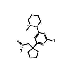 C[C@H]1COCCN1c1cc(C2(C[SH](=O)=O)CCCC2)nc(Cl)n1